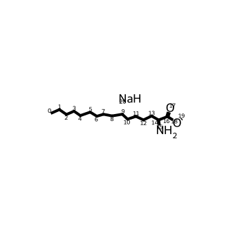 CCCCCCCCCCCCCCC(N)C(=O)OC.[NaH]